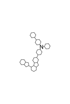 C1CCC(C2CCC(N(C3CCCCC3)C3CCC(C4CCC5C(C4)CC4CCCC(C6CC7CCCCC7C6)C45)CC3)CC2)CC1